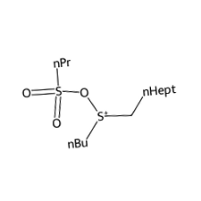 CCCCCCCC[S+](CCCC)OS(=O)(=O)CCC